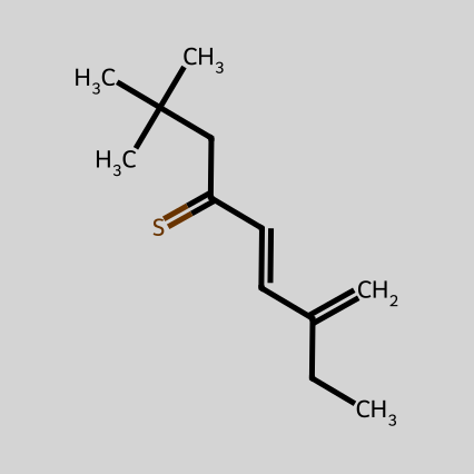 C=C(/C=C/C(=S)CC(C)(C)C)CC